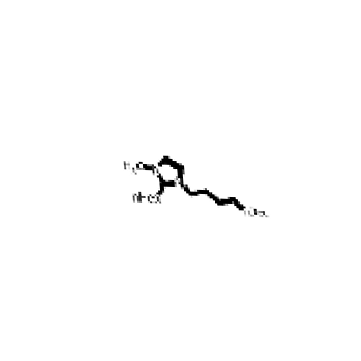 CCCCCCCCCCCCCCN1C=CN(C)C1CCCCCC